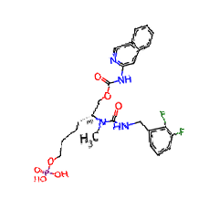 CN(C(=O)NCc1cccc(F)c1F)[C@H](CCCCOP(=O)(O)O)COC(=O)Nc1cc2ccccc2cn1